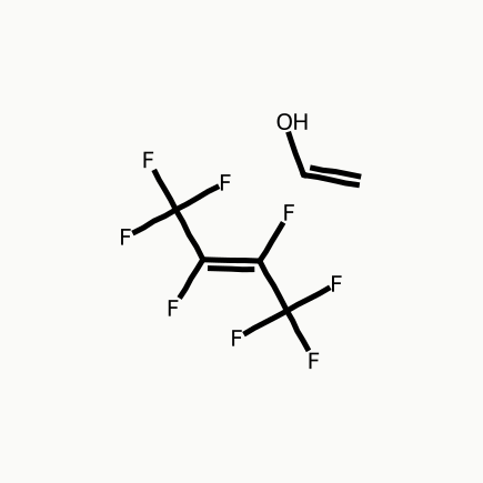 C=CO.FC(=C(F)C(F)(F)F)C(F)(F)F